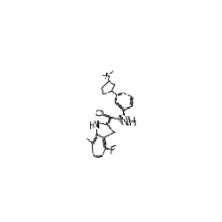 Cc1ccc(F)c2c1NC(C(=O)Nc1cccc(C3CCC(N(C)C)C3)c1)C2